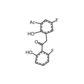 CC(=O)c1cc(F)cc(CC(=O)c2c(O)cccc2F)c1O